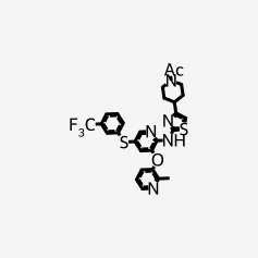 CC(=O)N1CCC(c2csc(Nc3ncc(Sc4cccc(C(F)(F)F)c4)cc3Oc3cccnc3C)n2)CC1